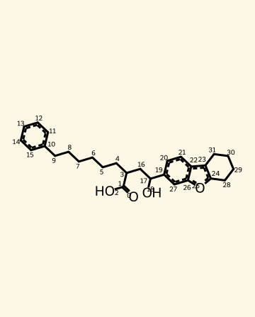 O=C(O)C(CCCCCCc1ccccc1)CC(O)c1ccc2c3c(oc2c1)CCCC3